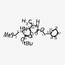 CSCC[C@H](NC(=O)[C@H](C)NC(=O)OCc1ccccc1)C(=O)OC(C)(C)C